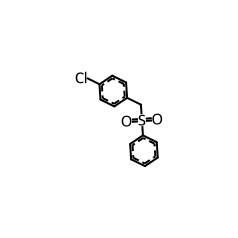 O=S(=O)(Cc1ccc(Cl)cc1)c1ccccc1